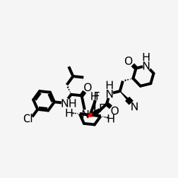 CC(C)C[C@@H](Nc1cccc(Cl)c1)C(=O)N1[C@@H]2CC[C@H]([C@H]1C(=O)N[C@H](C#N)C[C@H]1CCCNC1=O)C(F)(F)C2